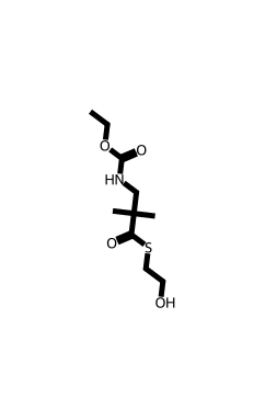 CCOC(=O)NCC(C)(C)C(=O)SCCO